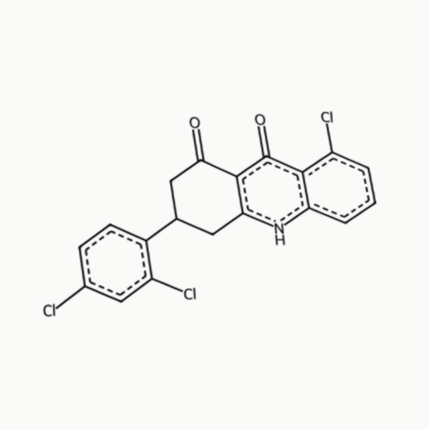 O=C1CC(c2ccc(Cl)cc2Cl)Cc2[nH]c3cccc(Cl)c3c(=O)c21